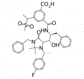 CC(c1cc(C(=O)O)cc(C(=O)N[C@@H](Cc2ccccc2)C(O)C2C(=O)N(Cc3ccccc3)C(C)(C)N2[C@H](C)c2ccc(F)cc2)c1)S(C)(=O)=O